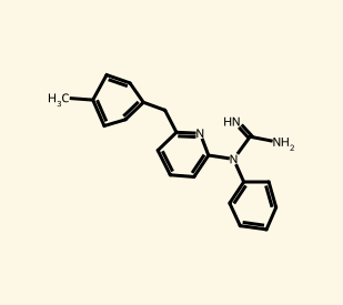 Cc1ccc(Cc2cccc(N(C(=N)N)c3ccccc3)n2)cc1